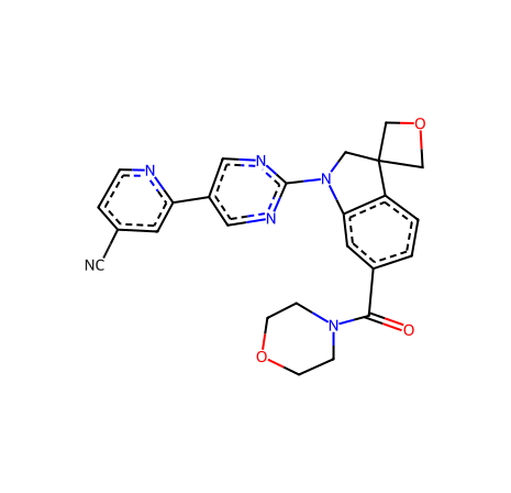 N#Cc1ccnc(-c2cnc(N3CC4(COC4)c4ccc(C(=O)N5CCOCC5)cc43)nc2)c1